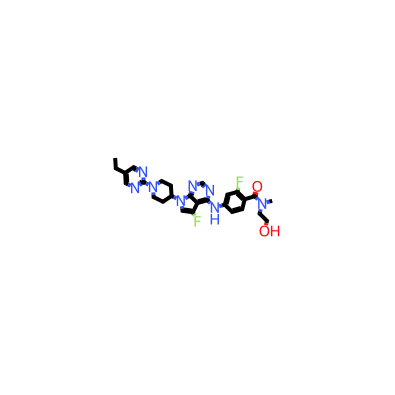 CCc1cnc(N2CCC(n3cc(F)c4c(Nc5ccc(C(=O)N(C)CCO)c(F)c5)ncnc43)CC2)nc1